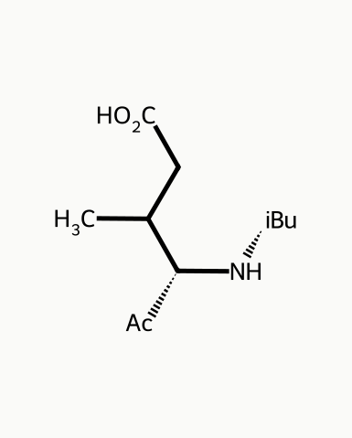 CC[C@@H](C)N[C@H](C(C)=O)C(C)CC(=O)O